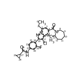 CCc1cc(C(=O)N2CCCCCC2C)nc2c(Cl)c(-c3ccc(NC(=O)C4CC4)cc3F)nn12